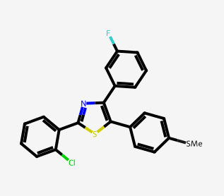 CSc1ccc(-c2sc(-c3ccccc3Cl)nc2-c2cccc(F)c2)cc1